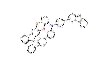 C1=CC2=C(CC1)C1(c3ccccc32)c2ccccc2-c2cc3c(cc21)Oc1c(cccc1N(c1ccccc1)c1ccc(-c2ccc4sc5ccccc5c4c2)cc1)O3